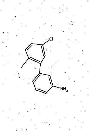 Cc1ccc(Cl)cc1-c1cccc(N)c1